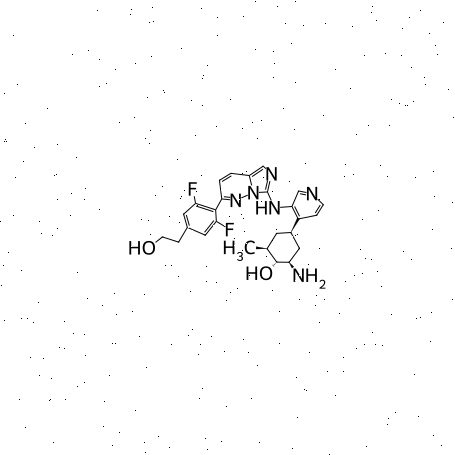 C[C@H]1C[C@@H](c2ccncc2Nc2ncc3ccc(-c4c(F)cc(CCO)cc4F)nn23)C[C@@H](N)[C@@H]1O